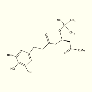 COC(=O)C[C@@H](CC(=O)CCc1cc(C(C)(C)C)c(O)c(C(C)(C)C)c1)O[Si](C)(C)C(C)(C)C